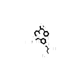 Cl.Cl.N#CCC[C@H](O)c1nc2ccc(-c3cnc4ccc(-c5c[nH]nc5-c5ccc(F)cc5)cn34)cc2s1